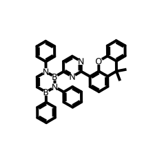 CC1(C)c2ccccc2Oc2c(-c3nccc(B4N(c5ccccc5)C=CB(c5ccccc5)N4c4ccccc4)n3)cccc21